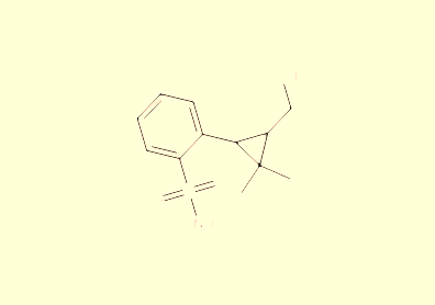 CC1(C)C(CO)C1c1ccccc1S(N)(=O)=O